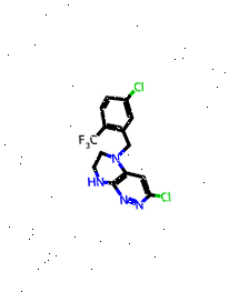 FC(F)(F)c1ccc(Cl)cc1CN1CCNc2nnc(Cl)cc21